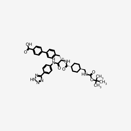 CC(C)(C)OC(=O)NC[C@H]1CC[C@H](C(=O)N[C@@H](Cc2ccc(-c3ccc(C(=O)O)cc3)cc2)C(=O)Nc2ccc(-c3nn[nH]n3)cc2)CC1